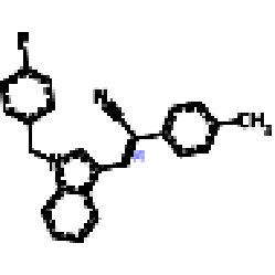 Cc1ccc(/C(C#N)=C/c2cn(Cc3ccc(F)cc3)c3ccccc23)cc1